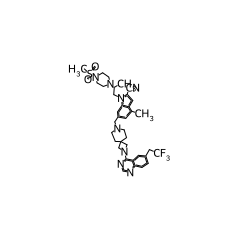 Cc1cc(CN2CCC3(CC2)CN(c2ncnc4ccc(CC(F)(F)F)cc24)C3)cc2c1cc(C#N)n2CC(C)N1CCN(S(C)(=O)=O)CC1